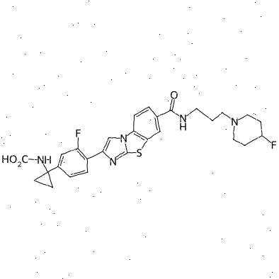 O=C(O)NC1(c2ccc(-c3cn4c(n3)sc3cc(C(=O)NCCCN5CCC(F)CC5)ccc34)c(F)c2)CC1